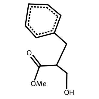 COC(=O)C(CO)Cc1ccccc1